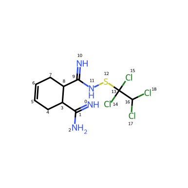 N=C(N)C1CC=CCC1C(=N)NSC(Cl)(Cl)C(Cl)Cl